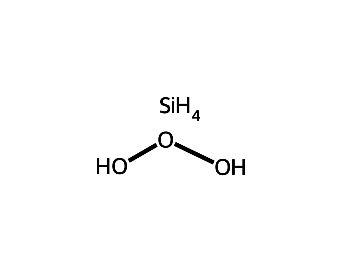 OOO.[SiH4]